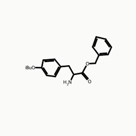 CC(C)COc1ccc(CC(N)C(=O)OCc2ccccc2)cc1